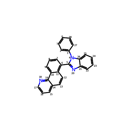 c1ccc(-n2c(-c3cccc4c3ccc3cccnc34)nc3ccccc32)cc1